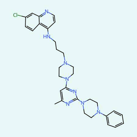 Cc1cc(N2CCN(CCCNc3ccnc4cc(Cl)ccc34)CC2)nc(N2CCN(c3ccccc3)CC2)n1